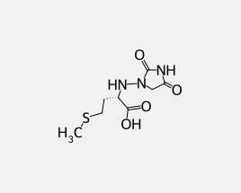 CSCC[C@H](NN1CC(=O)NC1=O)C(=O)O